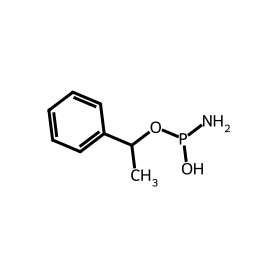 CC(OP(N)O)c1ccccc1